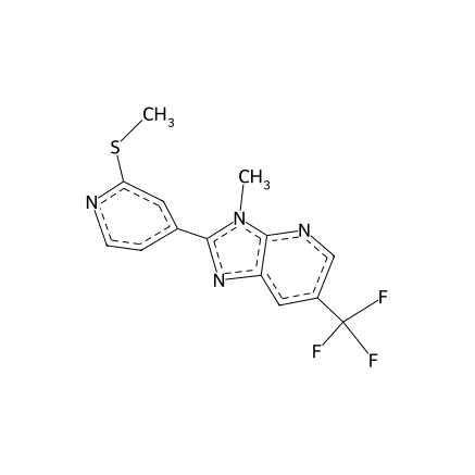 CSc1cc(-c2nc3cc(C(F)(F)F)cnc3n2C)ccn1